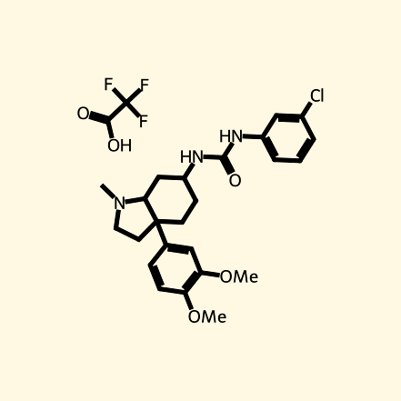 COc1ccc(C23CCC(NC(=O)Nc4cccc(Cl)c4)CC2N(C)CC3)cc1OC.O=C(O)C(F)(F)F